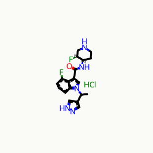 CC(c1cn[nH]c1)n1cc(C(=O)N[C@@H]2CCNC[C@@H]2F)c2c(F)cccc21.Cl